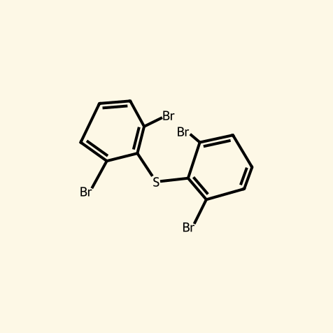 Brc1cccc(Br)c1Sc1c(Br)cccc1Br